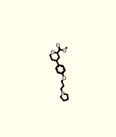 COC(=O)C1CC(c2ccc(OCCCN3CCCC3)cc2)CCO1